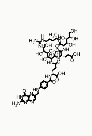 C[C@H](CCCNC(=N)N)NC(=O)[C@@H](NC(=O)[C@H](CCC(=O)O)NC(=O)[C@@H](NC(=O)CC[C@H](NC(=O)c1ccc(NCc2cnc3nc(N)[nH]c(=O)c3n2)cc1)C(=O)O)[C@@H](O)[C@H](O)[C@H](O)CO)[C@@H](O)[C@H](O)[C@H](O)CO